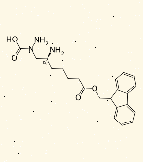 N[C@@H](CCCCC(=O)OCC1c2ccccc2-c2ccccc21)CN(N)C(=O)O